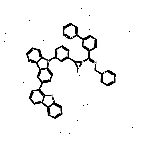 c1ccc(C/N=C(/c2cccc(-c3ccccc3)c2)N2NC2c2cccc(-n3c4ccccc4c4cc(-c5cccc6c5sc5ccccc56)ccc43)c2)cc1